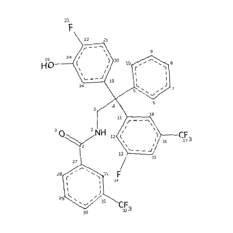 O=C(NCC(c1ccccc1)(c1cc(F)cc(C(F)(F)F)c1)c1ccc(F)c(O)c1)c1cccc(C(F)(F)F)c1